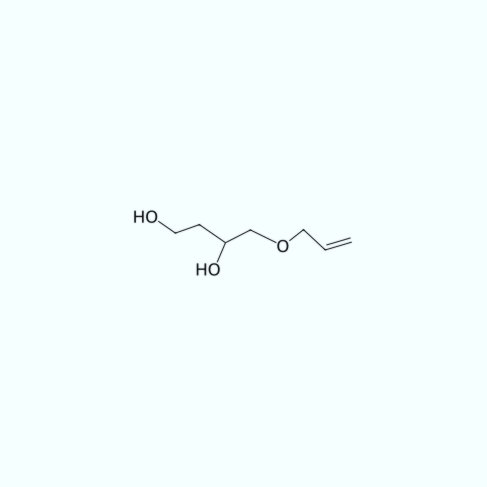 C=CCOCC(O)CCO